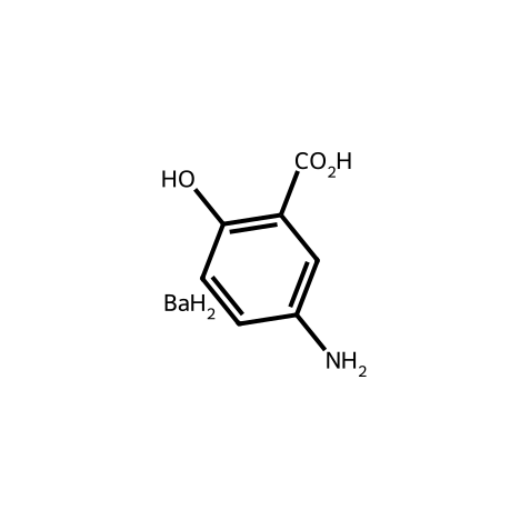 Nc1ccc(O)c(C(=O)O)c1.[BaH2]